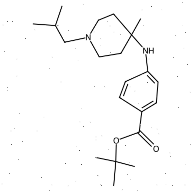 C[C](C)CN1CCC(C)(Nc2ccc(C(=O)OC(C)(C)C)cc2)CC1